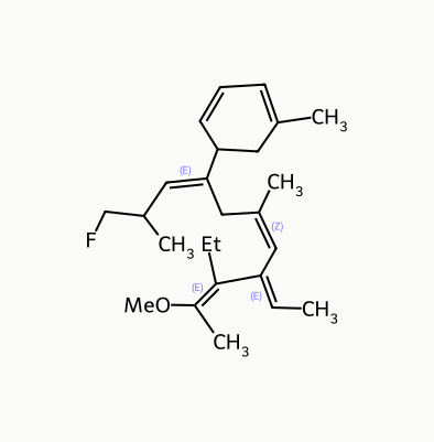 C/C=C(\C=C(\C)C/C(=C\C(C)CF)C1C=CC=C(C)C1)C(/CC)=C(\C)OC